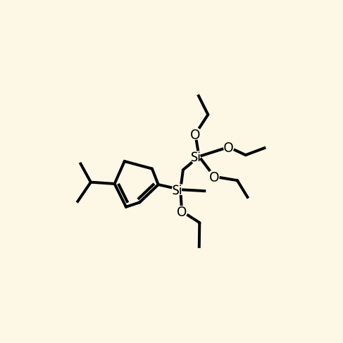 CCO[Si](C[Si](C)(OCC)C1=CC=C(C(C)C)CC1)(OCC)OCC